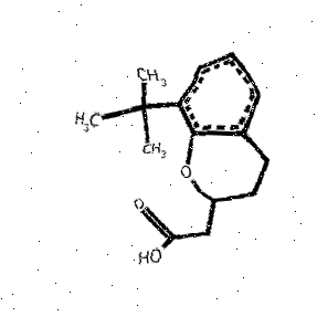 CC(C)(C)c1cccc2c1OC(CC(=O)O)CC2